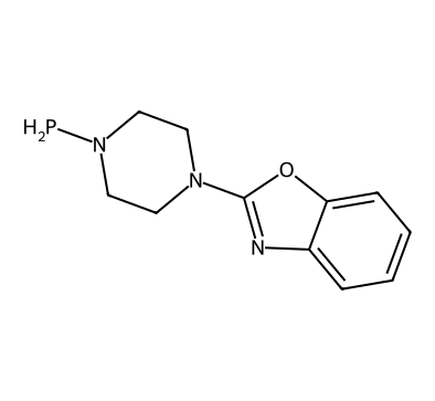 PN1CCN(c2nc3ccccc3o2)CC1